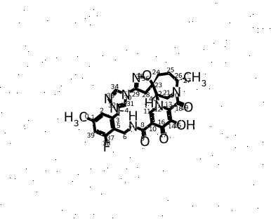 Cc1cc(F)c(CNC(=O)c2cn3c(c(O)c2=O)C(=O)N2C[C@@H]3[C@]3(CC[C@@H]2C)CC(n2cnnc2)=NO3)c(F)c1